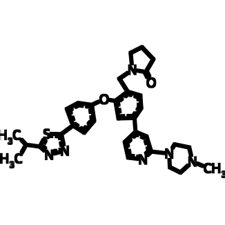 CC(C)c1nnc(-c2ccc(Oc3cc(-c4ccnc(N5CCN(C)CC5)c4)ccc3CN3CCCC3=O)cc2)s1